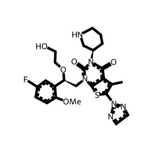 COc1ccc(F)cc1[C@H](Cn1c(=O)n([C@@H]2CCCNC2)c(=O)c2c(C)c(-n3nccn3)sc21)OCCO